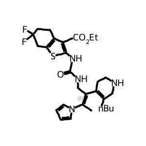 CCCCC1=C(/C(CNC(=O)Nc2sc3c(c2C(=O)OCC)CCC(F)(F)C3)=C(\C)n2cccc2)CCNC1